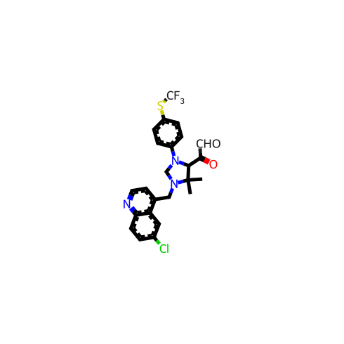 CC1(C)C(C(=O)C=O)N(c2ccc(SC(F)(F)F)cc2)CN1Cc1ccnc2ccc(Cl)cc12